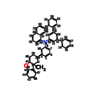 CC12C[C@H](c3cccc(N(c4cc(-c5ccccc5)cc(-c5ccccc5)c4)c4cccc5ccccc45)c3)CC=C1Oc1ccccc12